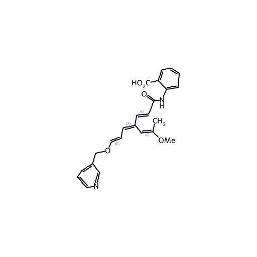 CO/C(C)=C/C(=C\C=C\OCc1cccnc1)/C=C/C(=O)Nc1ccccc1C(=O)O